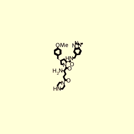 COc1ccc(C[C@@H]2C[C@@H](C(=O)NCc3ccc4c(c3)nnn4C)N(C(=O)[C@H](N)CCC(=O)N3CCNCC3)C2)cc1